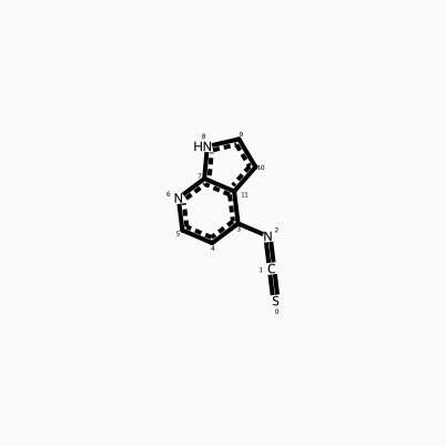 S=C=Nc1ccnc2[nH]ccc12